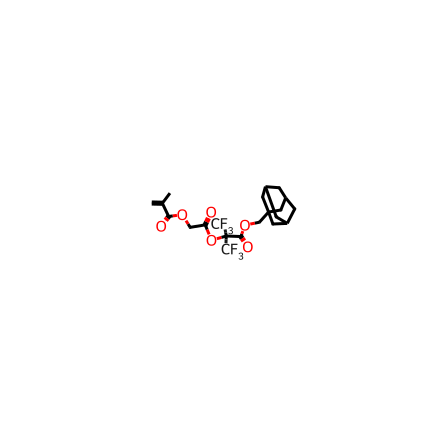 C=C(C)C(=O)OCC(=O)OC(C(=O)OCC12CC3CC(CC(C3)C1)C2)(C(F)(F)F)C(F)(F)F